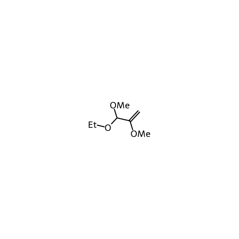 C=C(OC)C(OC)OCC